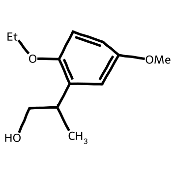 CCOc1ccc(OC)cc1[C](C)CO